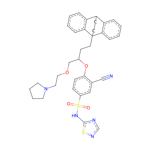 N#Cc1cc(S(=O)(=O)Nc2ncns2)ccc1OC(CCC12CCC(c3ccccc31)c1ccccc12)COCCN1CCCC1